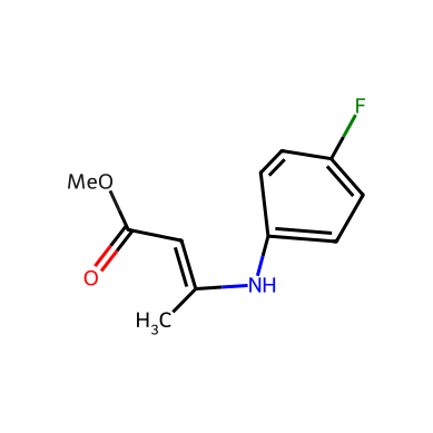 COC(=O)C=C(C)Nc1ccc(F)cc1